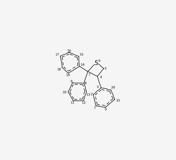 c1ccc(C2CSC2(c2ccccc2)c2ccccc2)cc1